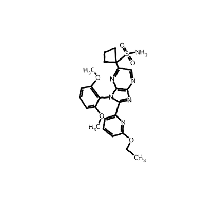 CCOc1cccc(-c2nc3ncc(C4(S(N)(=O)=O)CCC4)nc3n2-c2c(OC)cccc2OC)n1